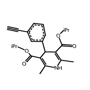 C#Cc1cccc(C2C(C(=O)OC(C)C)=C(C)NC(C)=C2C(=O)OC(C)C)c1